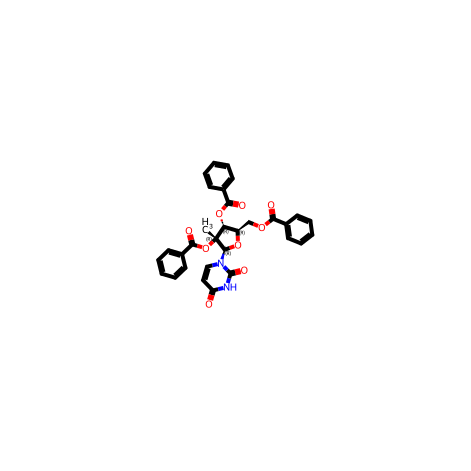 C[C@@]1(OC(=O)c2ccccc2)[C@H](OC(=O)c2ccccc2)[C@@H](COC(=O)c2ccccc2)O[C@H]1n1ccc(=O)[nH]c1=O